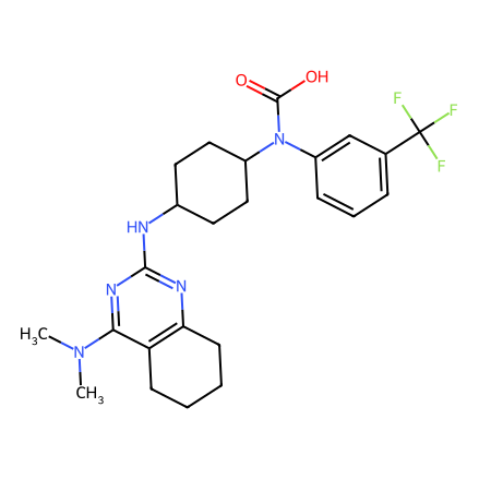 CN(C)c1nc(NC2CCC(N(C(=O)O)c3cccc(C(F)(F)F)c3)CC2)nc2c1CCCC2